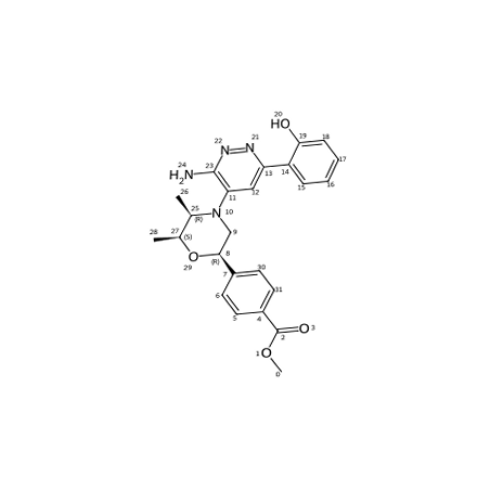 COC(=O)c1ccc([C@@H]2CN(c3cc(-c4ccccc4O)nnc3N)[C@H](C)[C@H](C)O2)cc1